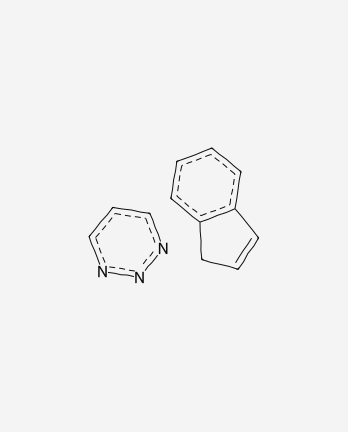 C1=Cc2ccccc2C1.c1cnnnc1